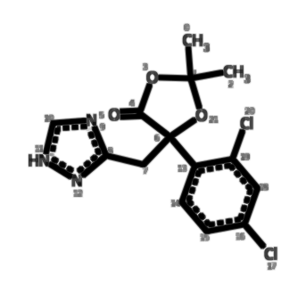 CC1(C)OC(=O)C(Cc2nc[nH]n2)(c2ccc(Cl)cc2Cl)O1